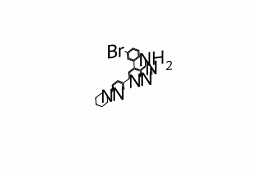 Nc1ncnc2nc(-c3ccc(N4CCCCC4)nc3)cc(-c3cccc(Br)c3)c12